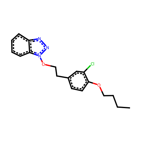 CCCCOc1ccc(CCOn2nnc3ccccc32)cc1Cl